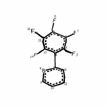 Fc1c(F)c(F)c(-c2bcccc2)c(F)c1F